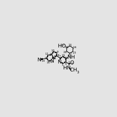 CNC(=O)c1cnc(-c2ccc3cc(C#N)cnn23)cc1N[C@H]1CCC[C@@H](O)C1